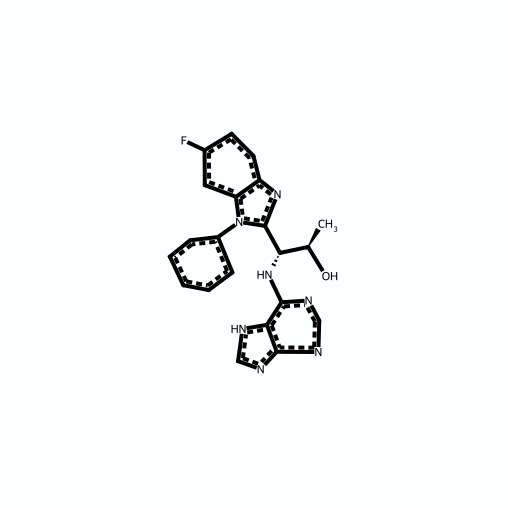 C[C@@H](O)[C@H](Nc1ncnc2nc[nH]c12)c1nc2ccc(F)cc2n1-c1ccccc1